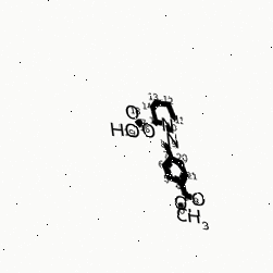 COC(=O)c1ccc(/C=N/N2CCCCC2OC(=O)O)cc1